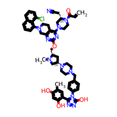 C=CC(=O)N1CCN(c2nc(OC[C@@H]3C[C@H](N4CCN(Cc5ccc(-n6c(O)nnc6-c6cc(C)c(O)cc6O)cc5)CC4)CN3C)nc3c2CCN(c2cccc4cccc(Cl)c24)C3)C[C@@H]1CC#N